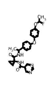 CC(F)Oc1ccc(Oc2ccc(C(C)NC(=O)C3(NC(=O)c4cncnc4)CC3)cc2)cc1